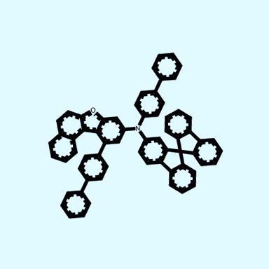 c1ccc(-c2ccc(-c3cc(N(c4ccc(-c5ccccc5)cc4)c4ccc5c(c4)C4(c6ccccc6-c6ccccc64)c4ccccc4-5)cc4oc5ccc6ccccc6c5c34)cc2)cc1